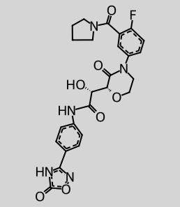 O=C(Nc1ccc(-c2noc(=O)[nH]2)cc1)[C@H](O)[C@H]1OCCN(c2ccc(F)c(C(=O)N3CCCC3)c2)C1=O